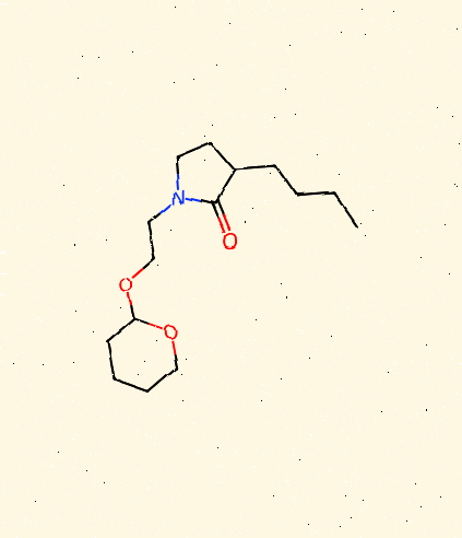 CCCCC1CCN(CCOC2CCCCO2)C1=O